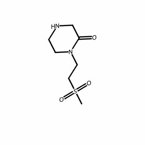 CS(=O)(=O)CCN1CCNCC1=O